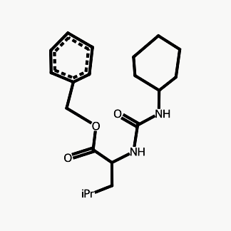 CC(C)CC(NC(=O)NC1CCCCC1)C(=O)OCc1ccccc1